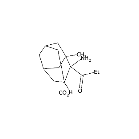 CCC(=O)C1(N)C2(C)CC3CC(C2)CC1(C(=O)O)C3